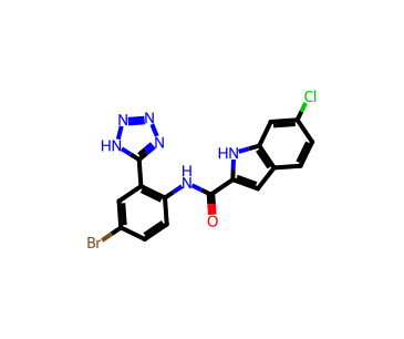 O=C(Nc1ccc(Br)cc1-c1nnn[nH]1)c1cc2ccc(Cl)cc2[nH]1